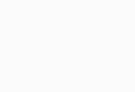 CCc1ccc2c(c1)CC(=O)N2CC(N)=O